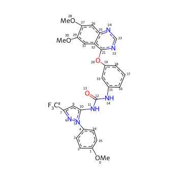 COc1ccc(-n2nc(C(F)(F)F)cc2NC(=O)Nc2cccc(Oc3ncnc4cc(OC)c(OC)cc34)c2)cc1